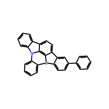 c1ccc(-c2ccc3c(c2)-c2ccc4c5ccccc5n5c4c2B3c2ccccc2-5)cc1